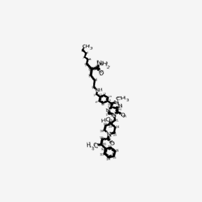 CCCCCCC(CCCNCc1ccc(-c2c3ncn(CC4(O)CCN(C(=O)CC(C)c5ccccc5)CC4)c(=O)c3nn2C)cc1)C(N)=O